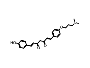 CN(C)CCCOc1ccc(C=CC(=O)CC(=O)C=Cc2ccc(O)cc2)cc1